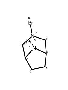 CC(C)N1C2CCC1CN(Br)C2